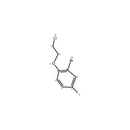 Fc1ccc(OCCCl)c(Br)c1